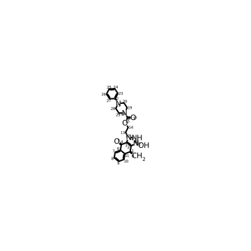 C=C1C2=C(C(=O)c3ccccc31)N(CCOC(=O)N1CCN(c3ccccc3)CC1)NN2O